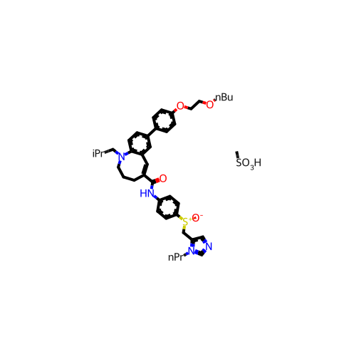 CCCCOCCOc1ccc(-c2ccc3c(c2)/C=C(/C(=O)Nc2ccc([S@@+]([O-])Cc4cncn4CCC)cc2)CCCN3CC(C)C)cc1.CS(=O)(=O)O